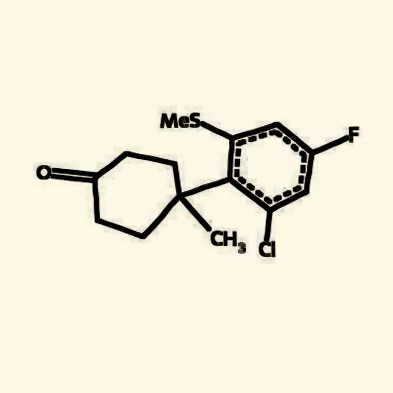 CSc1cc(F)cc(Cl)c1C1(C)CCC(=O)CC1